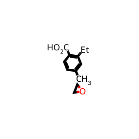 C1CO1.CCc1cc(C)ccc1C(=O)O